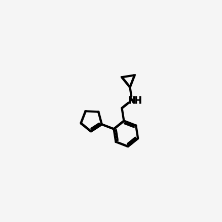 C1=C(c2ccccc2CNC2CC2)CCC1